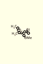 CCn1c2ccccc2c2cc(C3(c4ccc(OC)cc4)C=c4cc(C)c5c(c4S3)Oc3ccc(C)cc3C=5)ccc21